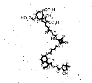 CN(CC(=O)O)C1(CCCCC(=O)NCCNc2c(NCCCCOc3ccc4nccc(C(=O)NCC(=O)N5CC(F)(F)CC5C#N)c4c3)c(=O)c2=O)CN(CC(=O)O)CCN(CC(=O)O)C1